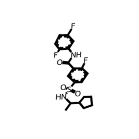 CC(NS(=O)(=O)c1ccc(F)c(C(=O)Nc2cc(F)ccc2F)c1)C1CCCC1